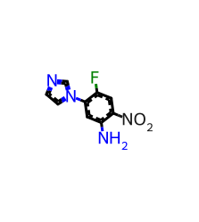 Nc1cc(-n2ccnc2)c(F)cc1[N+](=O)[O-]